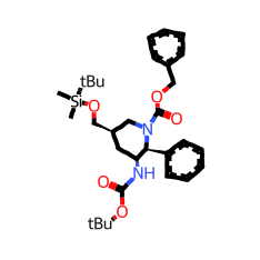 CC(C)(C)OC(=O)N[C@H]1C[C@@H](CO[Si](C)(C)C(C)(C)C)CN(C(=O)OCc2ccccc2)[C@H]1c1ccccc1